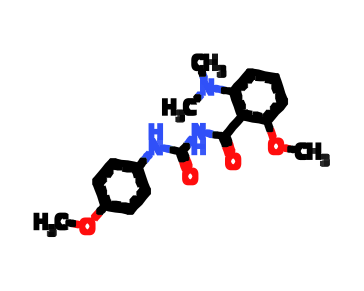 COc1ccc(NC(=O)NC(=O)c2c(OC)cccc2N(C)C)cc1